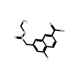 CCO[PH](=O)Cc1cc(F)c2ccc(C(=O)O)cc2c1